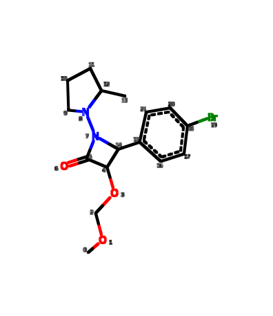 COCOC1C(=O)N(N2CCCC2C)C1c1ccc(Br)cc1